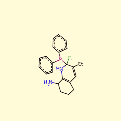 CCC1=CC2=C(NC1(Cl)P(c1ccccc1)c1ccccc1)C(N)CCC2